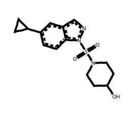 O=S(=O)(N1CCC(O)CC1)n1ncc2cc(C3CC3)ccc21